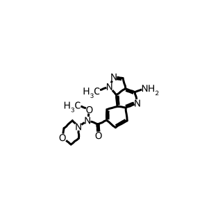 CON(C(=O)c1ccc2nc(N)c3cnn(C)c3c2c1)N1CCOCC1